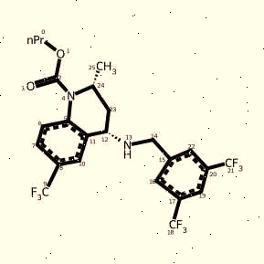 CCCOC(=O)N1c2ccc(C(F)(F)F)cc2[C@@H](NCc2cc(C(F)(F)F)cc(C(F)(F)F)c2)C[C@H]1C